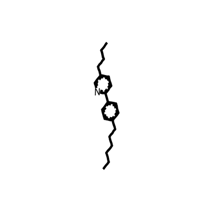 CCCCCCc1ccc(-c2ccc(CCCC)cn2)cc1